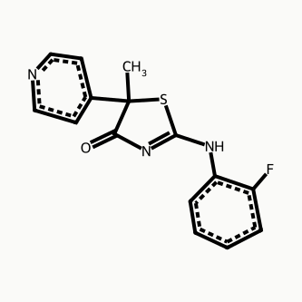 CC1(c2ccncc2)SC(Nc2ccccc2F)=NC1=O